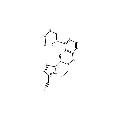 CCN(Cc1cccc(N2CCOCC2)c1)C(=O)n1cc(C#N)cn1